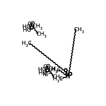 CCCCCCCCCCCCCCCCCCCCCCCCCCCCCCc1cccc(N=C(CCCC)C(CCCCCC)=Nc2cccc(CCCCCCCCCCCCCCCCCCCCCCCCCCCCCC)c2)c1.CCCCCc1cc(O)c(O)c(C(=O)[O-])c1C.CCCCCc1cc(O)c(O)c(C(=O)[O-])c1C.[Ni+2]